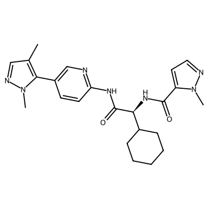 Cc1cnn(C)c1-c1ccc(NC(=O)[C@@H](NC(=O)c2ccnn2C)C2CCCCC2)nc1